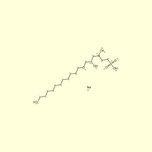 CCCCCCCCCCCCOCC(O)CN(C)CCS(=O)(=O)O.[Na]